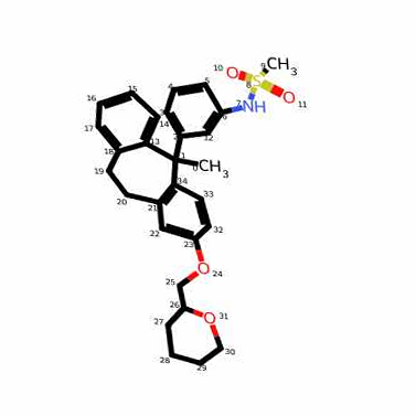 CC1(c2cccc(NS(C)(=O)=O)c2)c2ccccc2CCc2cc(OCC3CCCCO3)ccc21